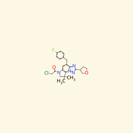 CC1(C)CN(C(=O)CCl)c2cc(Cc3ccc(F)cc3)c3nc(C4CCOC4)nn3c21